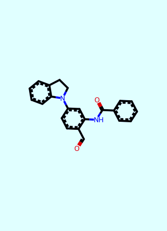 O=Cc1ccc(N2CCc3ccccc32)cc1NC(=O)c1ccccc1